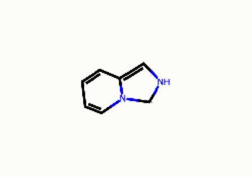 [CH]1NC=C2C=CC=CN12